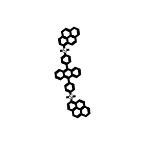 C[Si](C)(c1ccc(-c2c3ccccc3c(-c3ccc([Si](C)(C)c4ccc5c6c7c(ccc46)C=CCC7=CC5)cc3)c3ccccc23)cc1)c1ccc2c3c4c(ccc13)C=CCC4=CC2